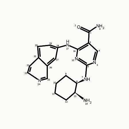 NC(=O)c1cnc(N[C@@H]2CCCC[C@@H]2N)nc1Nc1ccc2ccncc2c1